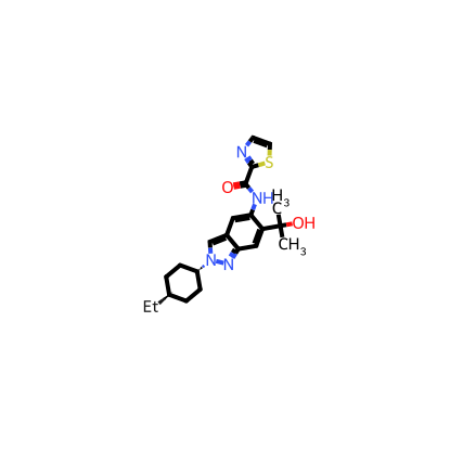 CC[C@H]1CC[C@H](n2cc3cc(NC(=O)c4nccs4)c(C(C)(C)O)cc3n2)CC1